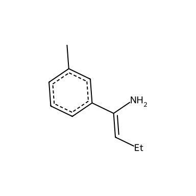 CC/C=C(\N)c1cccc(C)c1